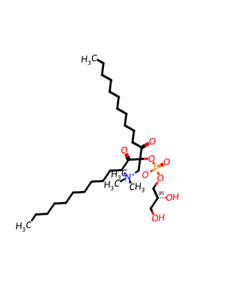 CCCCCCCCCCCC(=O)C(C[N+](C)(C)C)(OP(=O)([O-])OC[C@H](O)CO)C(=O)CCCCCCCCCCC